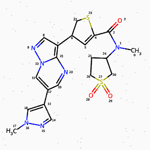 CN(C(=O)C1=CC(c2cnn3cc(-c4cnn(C)c4)cnc23)CS1)C1CCS(=O)(=O)C1